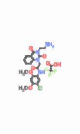 COc1cc(OC)c(NC(=O)Cn2c(=O)n(CCN)c(=O)c3ccccc32)cc1Cl.O=C(O)C(F)(F)F